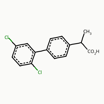 CC(C(=O)O)c1ccc(-c2cc(Cl)ccc2Cl)cc1